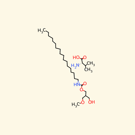 CC(C)[C@H](N)C(=O)O.CCCCCCCCCCCCCCCCCCNC(=O)OCC(CO)COC